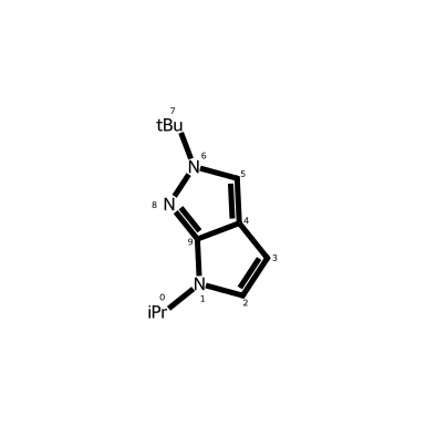 CC(C)n1ccc2cn(C(C)(C)C)nc21